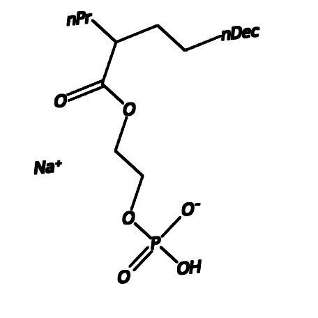 CCCCCCCCCCCCC(CCC)C(=O)OCCOP(=O)([O-])O.[Na+]